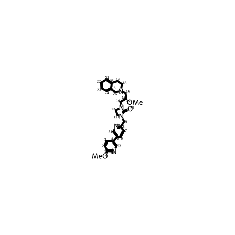 COc1ccc(-c2ccc(CN3CCN(C[C@@H](CN4CCc5ccccc5C4)OC)C3=O)nc2)cn1